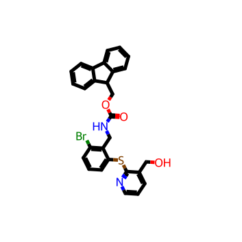 O=C(NCc1c(Br)cccc1Sc1ncccc1CO)OCC1c2ccccc2-c2ccccc21